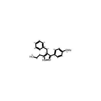 CSc1ccc(-c2n[nH]c(CCO)c2Cc2ccccc2)cc1